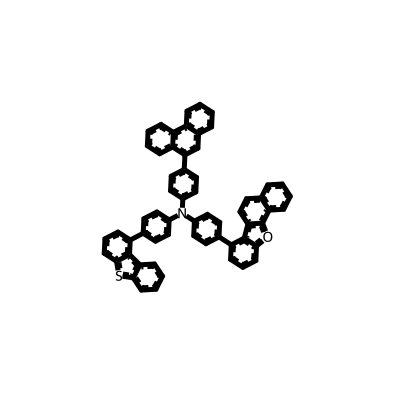 c1ccc2c(c1)cc(-c1ccc(N(c3ccc(-c4cccc5oc6c7ccccc7ccc6c45)cc3)c3ccc(-c4cccc5sc6ccccc6c45)cc3)cc1)c1ccccc12